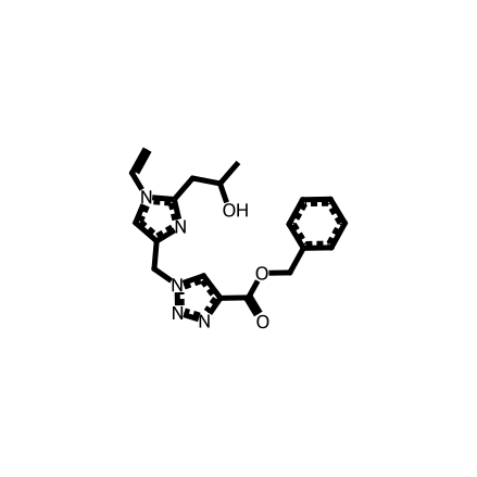 C=Cn1cc(Cn2cc(C(=O)OCc3ccccc3)nn2)nc1CC(C)O